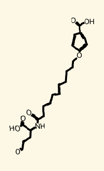 O=CCCC(NC(=O)CCCCCCCCCCOc1ccc(C(=O)O)cc1)C(=O)O